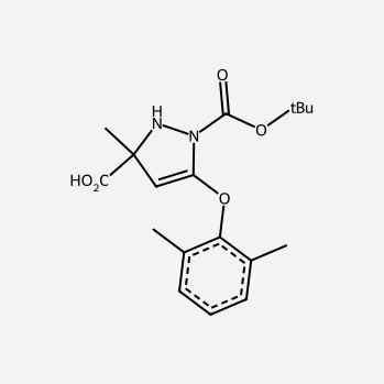 Cc1cccc(C)c1OC1=CC(C)(C(=O)O)NN1C(=O)OC(C)(C)C